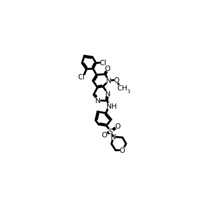 COn1c(=O)c(-c2c(Cl)cccc2Cl)cc2cnc(Nc3cccc(S(=O)(=O)N4CCOCC4)c3)nc21